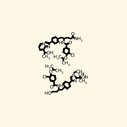 CC(C)Oc1ccc(C(=O)NC(CCC(N)=O)Cc2ccc(-c3cn4cccc(C(C)O)c4n3)cc2)cc1Cl.CCn1cc(-c2ccc(CC(CCO)NC(=O)c3ccc(OC(C)C)c(Cl)c3)cc2)nc1C(C)(C)O